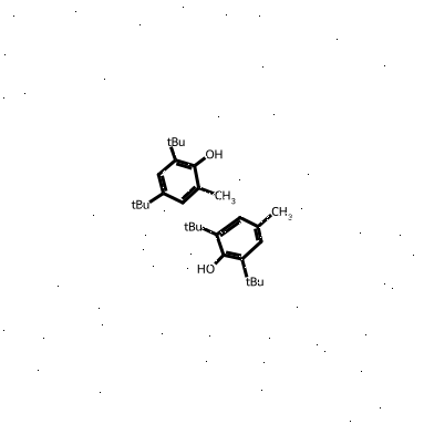 Cc1cc(C(C)(C)C)c(O)c(C(C)(C)C)c1.Cc1cc(C(C)(C)C)cc(C(C)(C)C)c1O